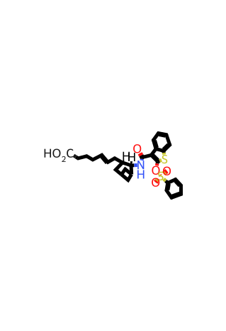 O=C(O)CCCC=CC[C@@H]1CC2CC(C2)[C@H]1NC(=O)c1c(OS(=O)(=O)c2ccccc2)sc2ccccc12